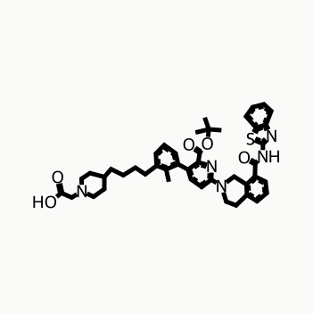 Cc1c(CCCCC2CCN(CC(=O)O)CC2)cccc1-c1ccc(N2CCc3cccc(C(=O)Nc4nc5ccccc5s4)c3C2)nc1C(=O)OC(C)(C)C